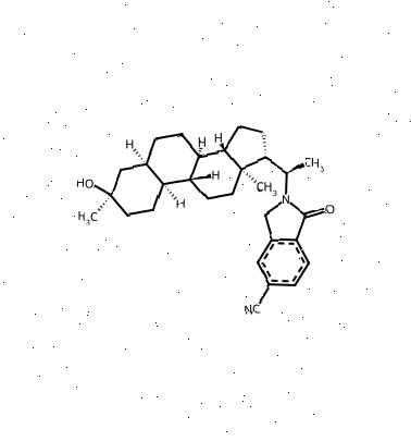 C[C@H]([C@H]1CC[C@H]2[C@@H]3CC[C@@H]4C[C@](C)(O)CC[C@@H]4[C@H]3CC[C@]12C)N1Cc2cc(C#N)ccc2C1=O